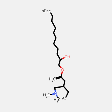 C=C(CC(CC(C)=O)CN(C)C)OCC(O)CCCCCCCCCCCCCCCCCC